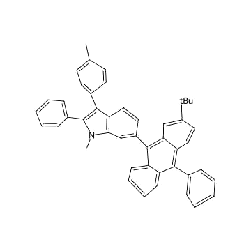 Cc1ccc(-c2c(-c3ccccc3)n(C)c3cc(-c4c5ccccc5c(-c5ccccc5)c5ccc(C(C)(C)C)cc45)ccc23)cc1